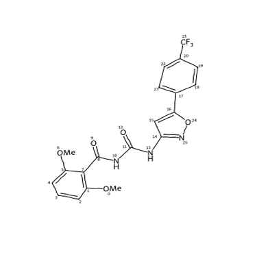 COc1cccc(OC)c1C(=O)NC(=O)Nc1cc(-c2ccc(C(F)(F)F)cc2)on1